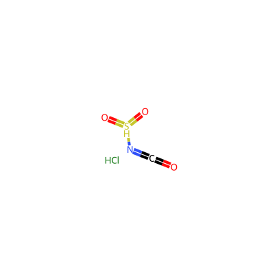 Cl.O=C=N[SH](=O)=O